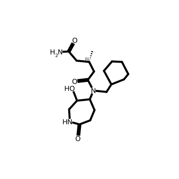 C[C@@H](CC(N)=O)CC(=O)N(CC1CCCCC1)C1CCC(=O)NCC1O